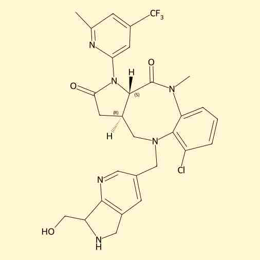 Cc1cc(C(F)(F)F)cc(N2C(=O)C[C@@H]3CN(Cc4cnc5c(c4)CNC5CO)c4c(Cl)cccc4N(C)C(=O)[C@H]32)n1